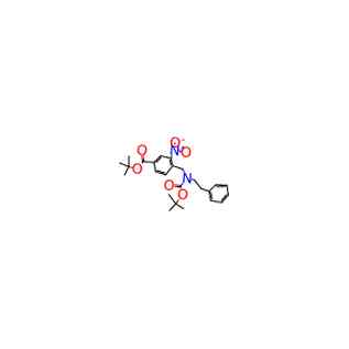 CC(C)(C)OC(=O)c1ccc(CN(CCc2ccccc2)C(=O)OC(C)(C)C)c([N+](=O)[O-])c1